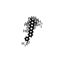 COc1cccc(-c2ccc3cc4c(c(O)c3c2)C(=O)C2=C(O)[C@]3(O)C(=O)C(C(N)=O)=C(O)[C@@H](N(C)C)[C@@H]3C[C@@H]2C4)c1